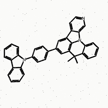 CC1(C)c2ccccc2-n2c3cnccc3c3cc(-c4ccc(-n5c6ccccc6c6ccccc65)cc4)cc1c32